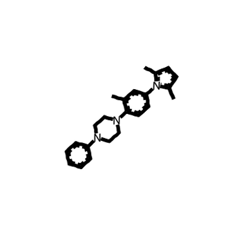 Cc1cc(-n2c(C)ccc2C)ccc1N1CCN(c2ccccc2)CC1